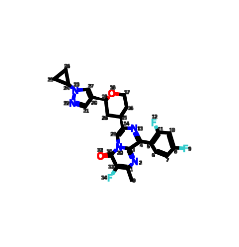 Cc1nc2c(-c3ccc(F)cc3F)nc([C@@H]3CCO[C@H](c4cnn(C5CC5)c4)C3)cn2c(=O)c1F